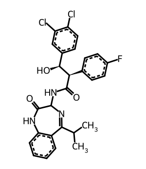 CC(C)C1=NC(NC(=O)[C@H](c2ccc(F)cc2)[C@@H](O)c2ccc(Cl)c(Cl)c2)C(=O)Nc2ccccc21